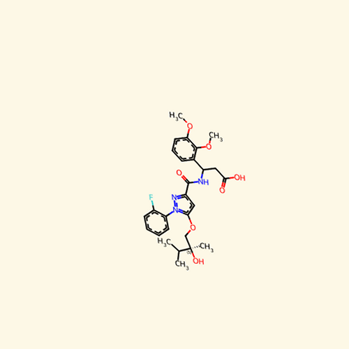 COc1cccc(C(CC(=O)O)NC(=O)c2cc(OC[C@@](C)(O)C(C)C)n(-c3ccccc3F)n2)c1OC